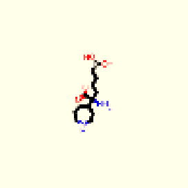 NC(CCCCB(O)O)(C(=O)O)C1CCCNCC1